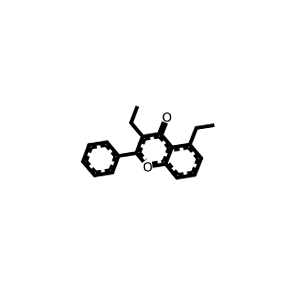 CCc1c(-c2ccccc2)oc2cccc(CC)c2c1=O